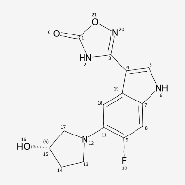 O=c1[nH]c(-c2c[nH]c3cc(F)c(N4CC[C@H](O)C4)cc23)no1